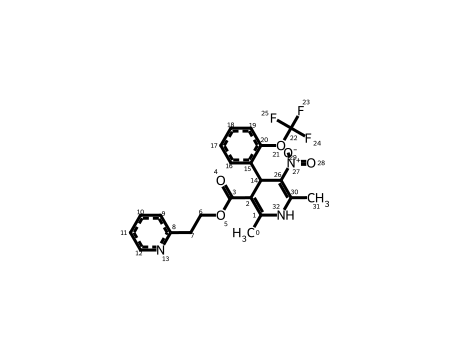 CC1=C(C(=O)OCCc2ccccn2)C(c2ccccc2OC(F)(F)F)C([N+](=O)[O-])=C(C)N1